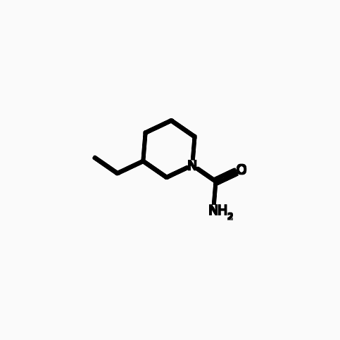 CCC1CCCN(C(N)=O)C1